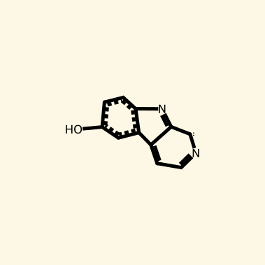 Oc1ccc2c(c1)C1=CC=N[C]C1=N2